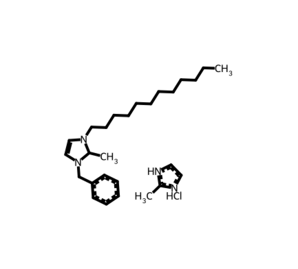 CCCCCCCCCCCCN1C=CN(Cc2ccccc2)C1C.Cc1ncc[nH]1.Cl